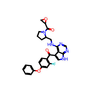 O=C(c1ccc(Oc2ccccc2)cc1F)c1c[nH]c2ncnc(NCC3CCCN3C(=O)C3CO3)c12